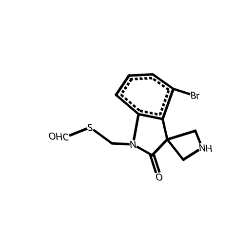 O=CSCN1C(=O)C2(CNC2)c2c(Br)cccc21